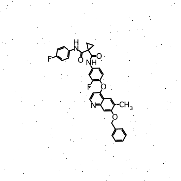 Cc1cc2c(Oc3ccc(NC(=O)C4(C(=O)Nc5ccc(F)cc5)CC4)cc3F)ccnc2cc1OCc1ccccc1